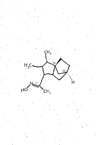 C/C(=N\O)C1C(C)C(C)[C@@]23CC[C@@H](CC12)C3